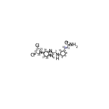 Cn1c(CNc2cccc(/C=C/C(N)=O)c2)nc2cc(N(CCCl)CCCl)ccc21